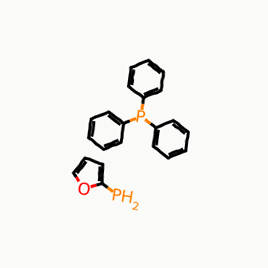 Pc1ccco1.c1ccc(P(c2ccccc2)c2ccccc2)cc1